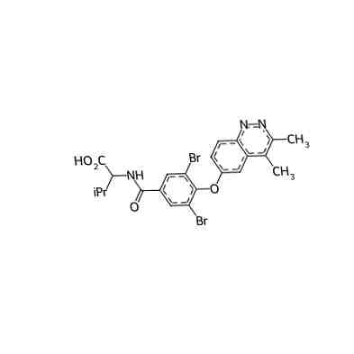 Cc1nnc2ccc(Oc3c(Br)cc(C(=O)NC(C(=O)O)C(C)C)cc3Br)cc2c1C